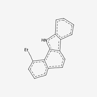 CCc1cccc2ccc3c4ccccc4[nH]c3c12